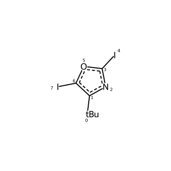 CC(C)(C)c1nc(I)oc1I